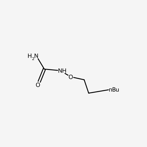 CCCCCCONC(N)=O